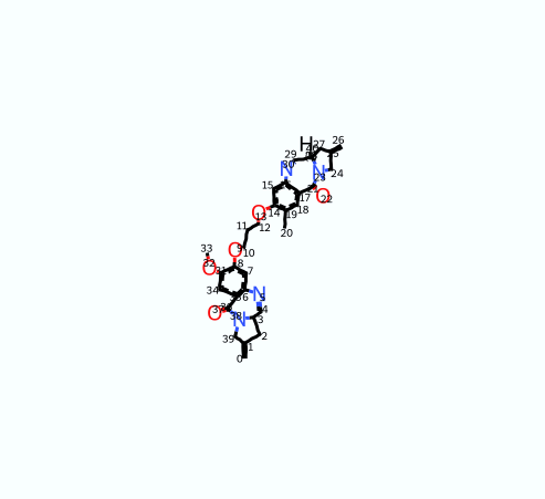 C=C1CC2C=Nc3cc(OCCCOc4cc5c(cc4C)C(=O)N4CC(=C)C[C@H]4C=N5)c(OC)cc3C(=O)N2C1